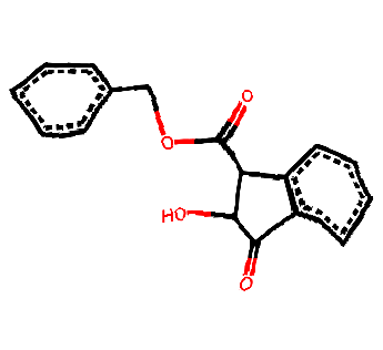 O=C1c2ccccc2C(C(=O)OCc2ccccc2)C1O